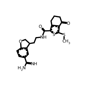 CSc1sc(C(=O)NCCC2COc3ccc(C(=N)N)cc32)c2c1C(=O)CCC2